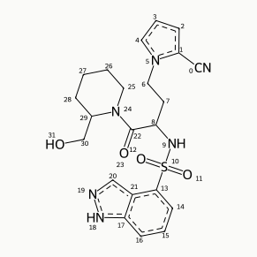 N#Cc1cccn1CCC(NS(=O)(=O)c1cccc2[nH]ncc12)C(=O)N1CCCCC1CO